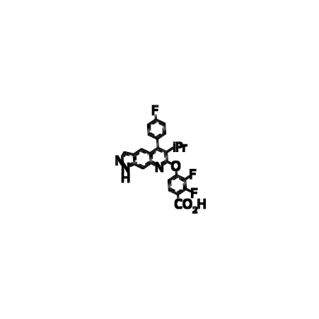 CC(C)c1c(Oc2ccc(C(=O)O)c(F)c2F)nc2cc3[nH]ncc3cc2c1-c1ccc(F)cc1